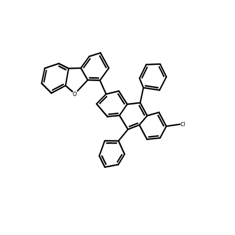 Clc1ccc2c(-c3ccccc3)c3ccc(-c4cccc5c4oc4ccccc45)cc3c(-c3ccccc3)c2c1